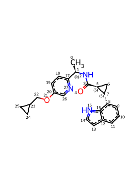 C[C@@H](NC(=O)[C@H]1C[C@@H]1c1cccc2cc[nH]c12)c1ccc(OCC2CC2)cn1